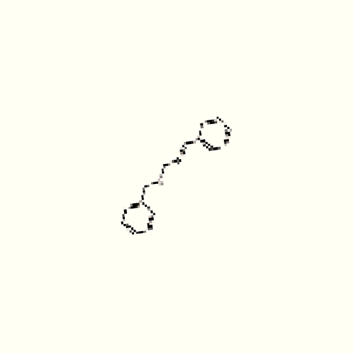 C(=N\CNCc1ccccc1)/c1ccccc1